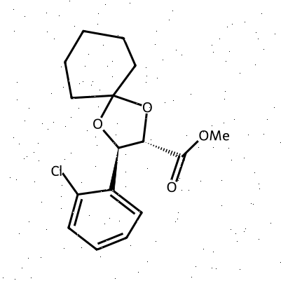 COC(=O)[C@H]1OC2(CCCCC2)O[C@@H]1c1ccccc1Cl